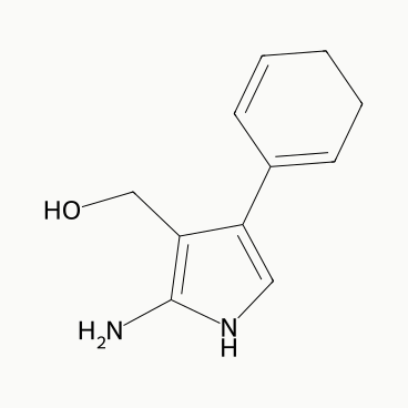 Nc1[nH]cc(C2=CCCC=C2)c1CO